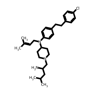 CC(C)=CCN(c1ccc(CCc2ccc(Cl)cc2)cc1)C1CCN(CC(N)CC(C)C)CC1